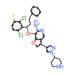 Nc1ncc2c(-c3cnn(C4CCNCC4)c3)coc2c1OC(CCc1ccccc1)c1c(Cl)ccc(F)c1Cl